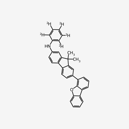 [2H]c1c([2H])c([2H])c(Nc2ccc3c(c2)C(C)(C)c2cc(-c4cccc5c4oc4ccccc45)ccc2-3)c([2H])c1[2H]